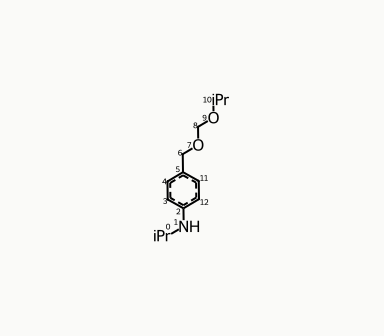 CC(C)Nc1ccc(COCOC(C)C)cc1